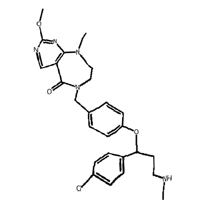 CNCCC(Oc1ccc(CN2CCN(C)c3nc(OC)ncc3C2=O)cc1)c1ccc(Cl)cc1